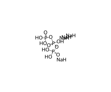 O=P(O)(O)OP(=O)(O)OP(=O)(O)O.[NaH].[NaH].[NaH].[NaH]